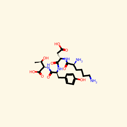 C[C@@H](O)[C@H](NC(=O)[C@H](Cc1ccc(O)cc1)NC(=O)[C@H](CC(=O)O)NC(=O)[C@@H](N)CCCCN)C(=O)O